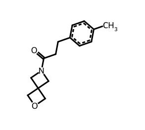 Cc1ccc(CCC(=O)N2CC3(COC3)C2)cc1